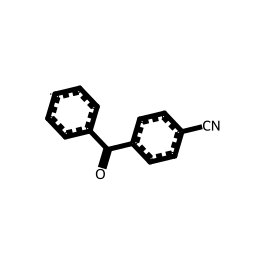 N#Cc1ccc(C(=O)c2cc[c]cc2)cc1